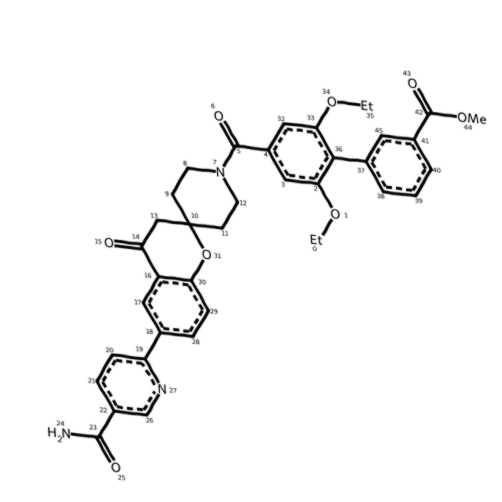 CCOc1cc(C(=O)N2CCC3(CC2)CC(=O)c2cc(-c4ccc(C(N)=O)cn4)ccc2O3)cc(OCC)c1-c1cccc(C(=O)OC)c1